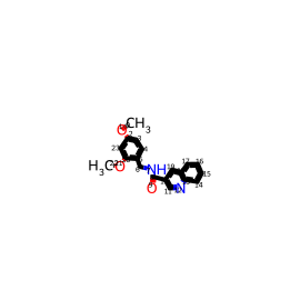 COc1ccc(CNC(=O)c2cnc3ccccc3c2)c(OC)c1